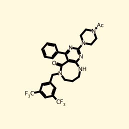 CC(=O)N1CCN(c2nc3c(c(-c4ccccc4)n2)C(=O)N(Cc2cc(C(F)(F)F)cc(C(F)(F)F)c2)CCCN3)CC1